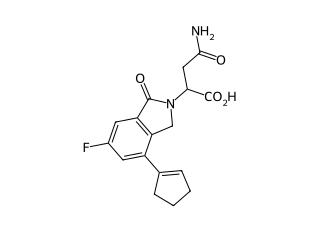 NC(=O)CC(C(=O)O)N1Cc2c(cc(F)cc2C2=CCCC2)C1=O